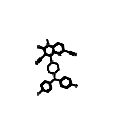 Cn1c(=O)c(C#N)c(N2CCN(C(c3ccc(F)cc3)c3ccc(F)cc3)CC2)c2nc(C#N)ccc21